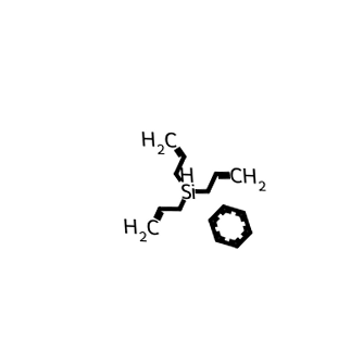 C=CC[SiH](CC=C)CC=C.c1ccccc1